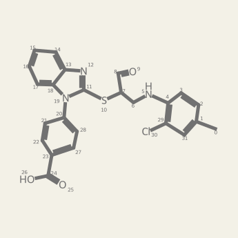 Cc1ccc(NCC(C=O)Sc2nc3ccccc3n2-c2ccc(C(=O)O)cc2)c(Cl)c1